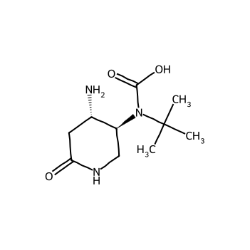 CC(C)(C)N(C(=O)O)[C@H]1CNC(=O)C[C@@H]1N